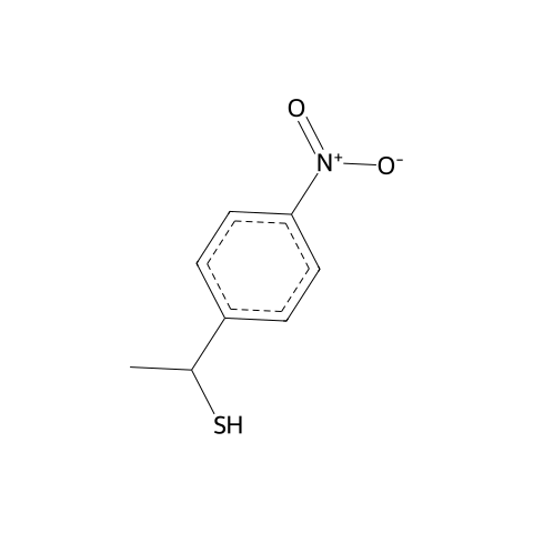 CC(S)c1ccc([N+](=O)[O-])cc1